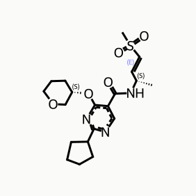 C[C@@H](/C=C/S(C)(=O)=O)NC(=O)c1cnc(C2CCCC2)nc1O[C@H]1CCCOC1